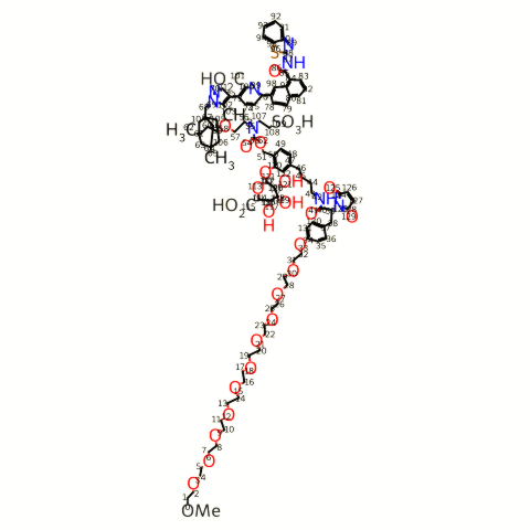 COCCOCCOCCOCCOCCOCCOCCOCCOCCOCCOCCOc1ccc(CC(C(=O)NCCCCc2ccc(COC(=O)N(CCOC34CC5(C)CC(C)(CC(Cn6ncc(-c7ccc(-c8ccc9cccc(C(=O)Nc%10nc%11ccccc%11s%10)c9c8)nc7C(=O)O)c6C)(C5)C3)C4)CCS(=O)(=O)O)c(O[C@@H]3O[C@H](C(=O)O)[C@@H](O)[C@H](O)[C@H]3O)c2)N2C(=O)C=CC2=O)cc1